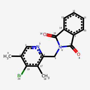 Cc1cnc(CN2C(=O)c3ccccc3C2=O)c(C)c1Br